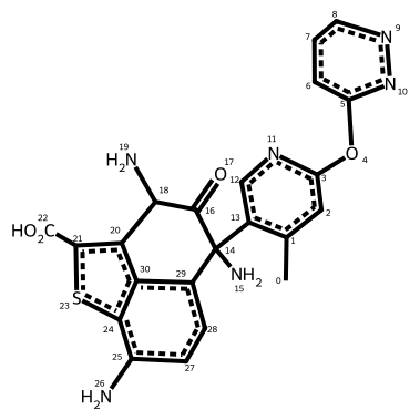 Cc1cc(Oc2cccnn2)ncc1C1(N)C(=O)C(N)c2c(C(=O)O)sc3c(N)ccc1c23